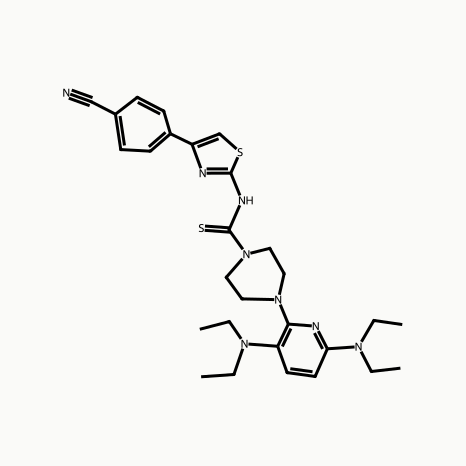 CCN(CC)c1ccc(N(CC)CC)c(N2CCN(C(=S)Nc3nc(-c4ccc(C#N)cc4)cs3)CC2)n1